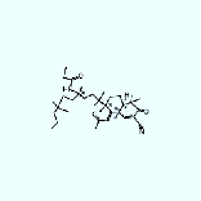 CCCC(C)(C)CC[C@@](C)(CCC(C)(C)[C@]1(C)CC[C@H]2C(C)(C)C(=O)C(C#N)=C[C@]2(C)/C1=C/C(C)=O)NC(=O)CC